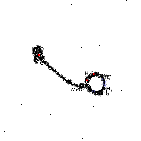 CO[C@H]1C[C@@H]2CC[C@@H](C)[C@@](O)(O2)C(=O)C(=O)N2CCCC[C@H]2C(=O)O[C@H]([C@H](N)C[C@@H]2CC[C@@H](OCCCCc3cn(CCOCCOCCOCCOCCOCCOCCC(=O)N4CCN(c5ccc(-n6c(=O)ccc7cnc8ccc(-c9cnc%10ccccc%10c9)cc8c76)cc5C(F)(F)F)CC4)nn3)[C@H](OC)C2)CC(=O)[C@H](C)/C=C(\C)[C@@H](O)[C@@H](O)C(=N)[C@H](C)C[C@H](C)/C=C/C=C/C=C/1C